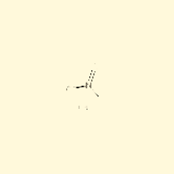 O=[N+]([O-])[O-].[Cs+]